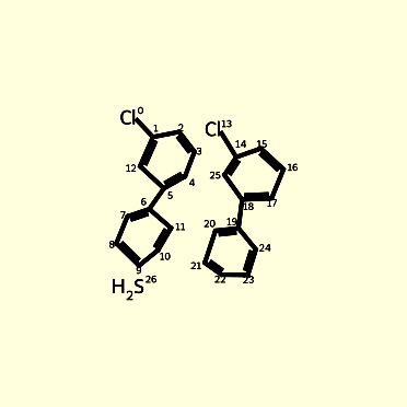 Clc1cccc(-c2ccccc2)c1.Clc1cccc(-c2ccccc2)c1.S